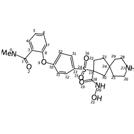 CNC(=O)c1ccccc1Oc1ccc(S(=O)(=O)C2(C(=O)NO)CCC3(CCNCC3)C2)cc1